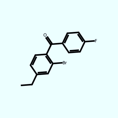 CCc1ccc(C(=O)c2ccc(F)cc2)c(Br)c1